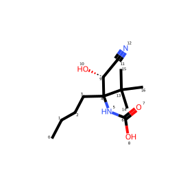 CCCCC(NC(=O)O)([C@H](O)C#N)C(C)(C)C